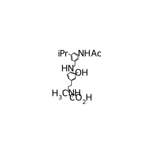 CC(=O)Nc1cc(CNc2ccc(CCC(C)NC(=O)O)cc2O)cc(C(C)C)c1